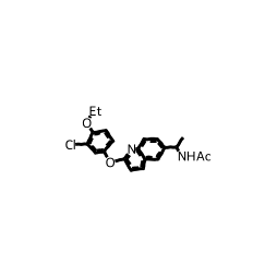 CCOc1ccc(Oc2ccc3cc(C(C)NC(C)=O)ccc3n2)cc1Cl